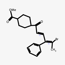 COC(=O)C1CCC(C(=O)/C=C/C(=C(/C)Br)c2ccccc2)CC1